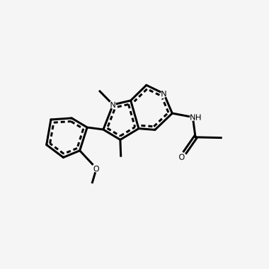 COc1ccccc1-c1c(C)c2cc(NC(C)=O)ncc2n1C